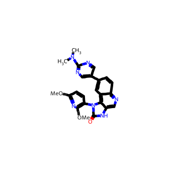 COc1ccc(-n2c(=O)[nH]c3cnc4ccc(-c5cnc(N(C)C)nc5)cc4c32)c(OC)n1